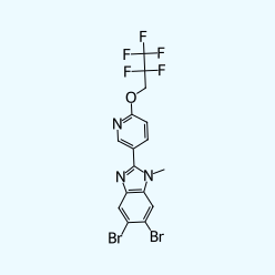 Cn1c(-c2ccc(OCC(F)(F)C(F)(F)F)nc2)nc2cc(Br)c(Br)cc21